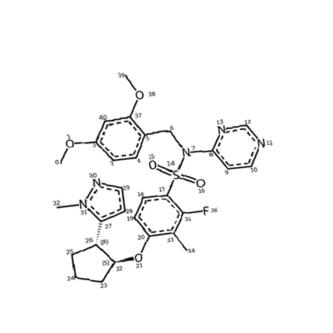 COc1ccc(CN(c2ccncn2)S(=O)(=O)c2ccc(O[C@H]3CCC[C@@H]3c3ccnn3C)c(C)c2F)c(OC)c1